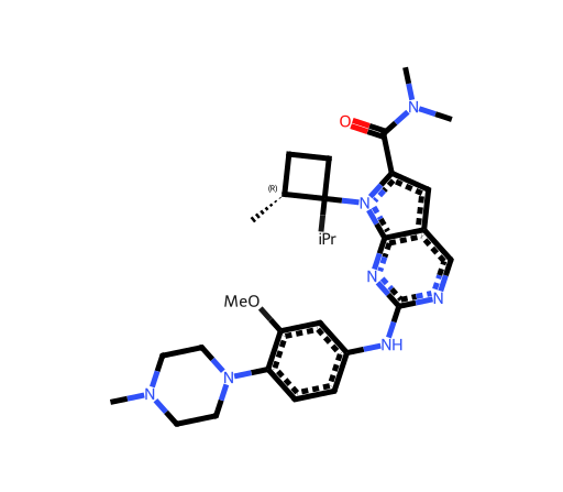 COc1cc(Nc2ncc3cc(C(=O)N(C)C)n(C4(C(C)C)CC[C@H]4C)c3n2)ccc1N1CCN(C)CC1